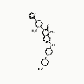 CCn1c(=O)c(-c2ccc(-c3cccs3)cc2C)cc2cnc(Nc3ccc(N4CCN(C)CC4)cc3)nc21